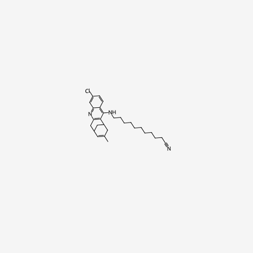 CC1=CC2Cc3nc4cc(Cl)ccc4c(NCCCCCCCCCCC#N)c3C(C1)C2